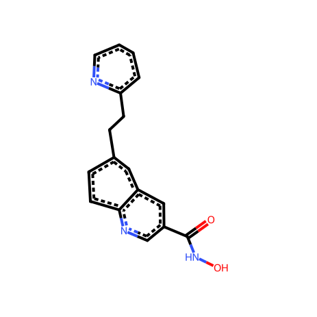 O=C(NO)c1cnc2ccc(CCc3ccccn3)cc2c1